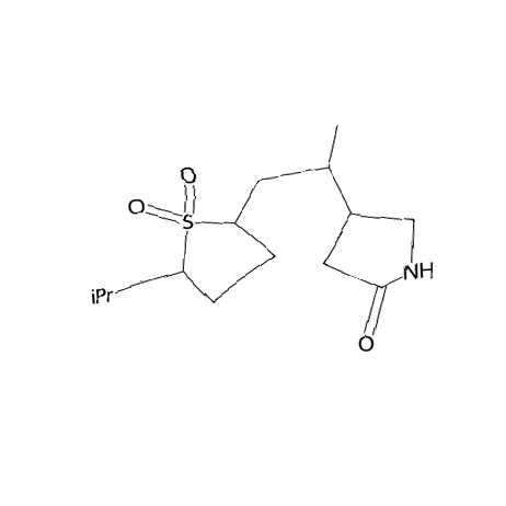 CC(C)C1CCC(CC(C)C2CNC(=O)C2)S1(=O)=O